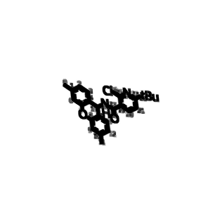 Cc1ccc2c(c1)Oc1cc(C)ccc1C2NC(=O)c1ccc(C(C)(C)C)nc1Cl